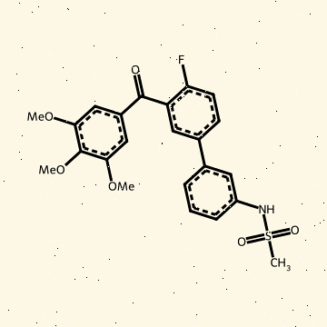 COc1cc(C(=O)c2cc(-c3cccc(NS(C)(=O)=O)c3)ccc2F)cc(OC)c1OC